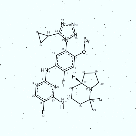 CC(C)Oc1cc(F)c(Nc2ncc(F)c(N[C@@H]3C[C@@H]4CCCN4C(C)(C)C3)n2)cc1-n1nnnc1C1CC1